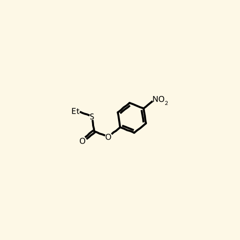 CCSC(=O)Oc1ccc([N+](=O)[O-])cc1